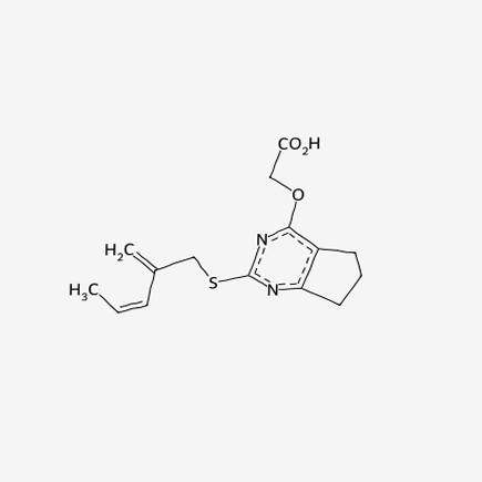 C=C(/C=C\C)CSc1nc2c(c(OCC(=O)O)n1)CCC2